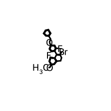 COc1ccc2c(c1)CCC(Br)=C2c1c(F)cc(OCc2ccccc2)cc1F